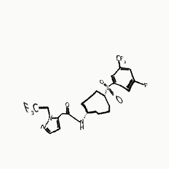 O=C(N[C@H]1CC[C@@H](S(=O)(=O)c2cc(F)cc(C(F)(F)F)c2)CC1)c1ccnn1CC(F)(F)F